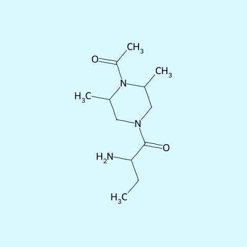 CCC(N)C(=O)N1CC(C)N(C(C)=O)C(C)C1